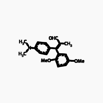 COc1ccc(OC)c(C(=C(C)C=O)c2ccc(N(C)C)cc2)c1